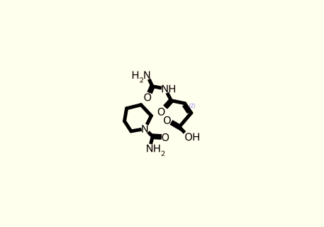 NC(=O)N1CCCCC1.NC(=O)NC(=O)/C=C\C(=O)O